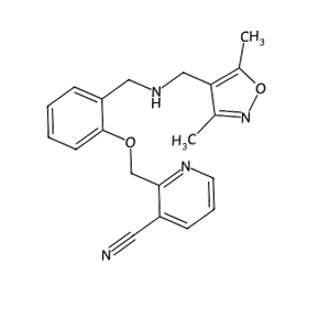 Cc1noc(C)c1CNCc1ccccc1OCc1ncccc1C#N